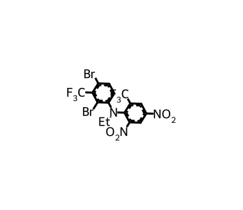 CCN(c1ccc(Br)c(C(F)(F)F)c1Br)c1c([N+](=O)[O-])cc([N+](=O)[O-])cc1C(F)(F)F